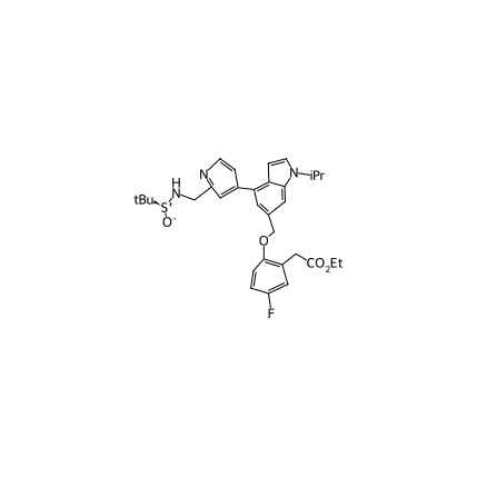 CCOC(=O)Cc1cc(F)ccc1OCc1cc(-c2ccnc(CN[S@@+]([O-])C(C)(C)C)c2)c2ccn(C(C)C)c2c1